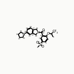 CC(Oc1ccc(S(C)(=O)=O)cc1C(=O)N1Cc2ccc(N3CCCC3)cc2C1)C(F)(F)F